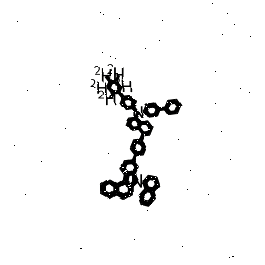 [2H]c1c([2H])c([2H])c(-c2ccc(N(c3ccc(-c4ccccc4)cc3)c3cccc4c(-c5ccc(-c6ccc7c8c9ccccc9ccc8n(-c8cccc9ccccc89)c7c6)cc5)cccc34)cc2)c([2H])c1[2H]